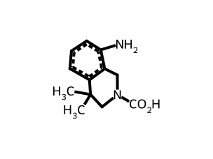 CC1(C)CN(C(=O)O)Cc2c(N)cccc21